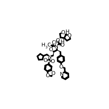 CC1(C)O[C@H](CN(CC2CCCC2)S(=O)(=O)c2ccc3c(c2)OCO3)[C@H](Cc2ccc(OCc3ccccn3)cc2)N1C(=O)O[C@H]1CO[C@H]2OCC[C@H]21